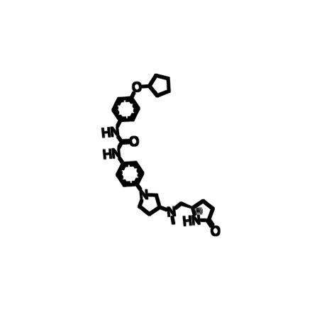 CN(C[C@H]1CCC(=O)N1)C1CCN(c2ccc(NC(=O)Nc3ccc(OC4CCCC4)cc3)cc2)C1